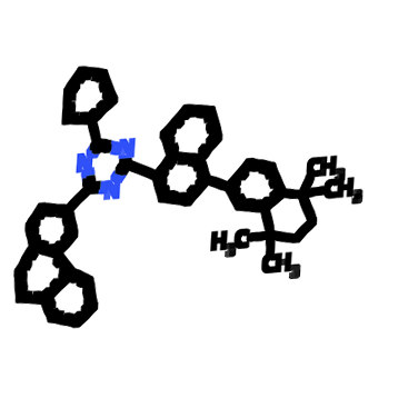 CC1(C)CCC(C)(C)c2cc(-c3ccc(-c4nc(-c5ccccc5)nc(-c5ccc6ccc7ccccc7c6c5)n4)c4ccccc34)ccc21